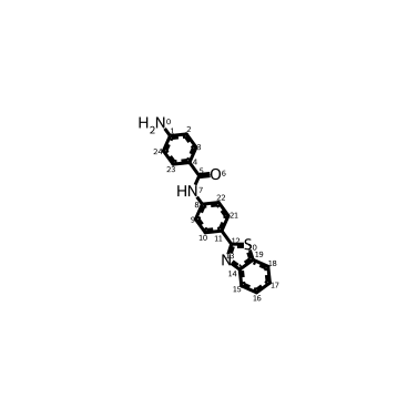 Nc1ccc(C(=O)Nc2ccc(-c3nc4ccccc4s3)cc2)cc1